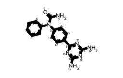 NC(=O)N(c1ccccc1)c1ccc(-c2nc(N)nc(N)n2)cc1